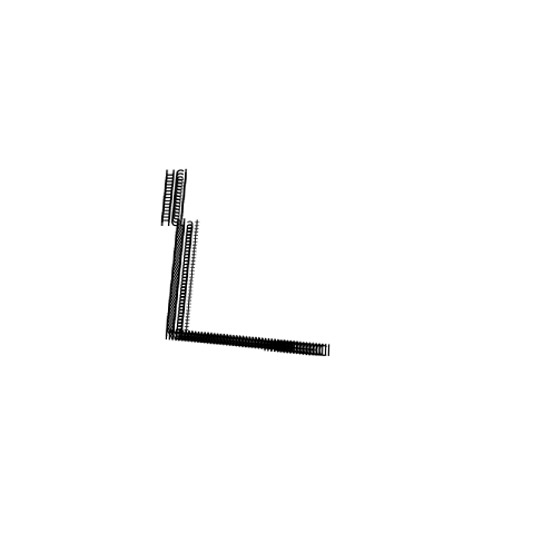 Cl.Cl.Cl.Cl.Cl.Cl.Cl.Cl.Cl.Cl.Cl.Cl.Cl.Cl.Cl.Cl.Cl.Cl.Cl.Cl.Cl.Cl.Cl.Cl.Cl.Cl.Cl.Cl.Cl.Cl.[Na+].[Na+].[Na+].[Na+].[Na+].[Na+].[Na+].[Na+].[Na+].[Na+].[Na+].[Na+].[Na+].[Na+].[Na+].[Na+].[Na+].[Na+].[Na+].[Na+].[Na+].[Na+].[Na+].[Na+].[Na+].[Na+].[Na+].[Na+].[Na+].[Na+].[Na+].[Na+].[Na+].[Na+].[Na+].[Na+].[Na+].[Na+].[Na+].[Na+].[Na+].[Na+].[Na+].[Na+].[Na+].[Na+].[Na+].[Na+].[Na+].[Na+].[Na+].[Na+].[Na+].[Na+].[Na+].[Na+].[Na+].[Na+].[Na+].[Na+].[Na+].[Na+].[Na+].[Na+].[Na+].[Na+].[Na+].[Na+].[Na+].[Na+]